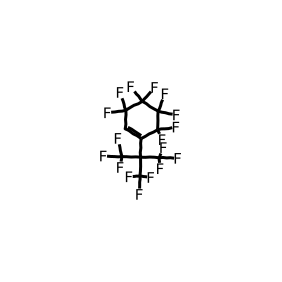 FC(F)(F)C(C1=CC(F)(F)C(F)(F)C(F)(F)C1(F)F)(C(F)(F)F)C(F)(F)F